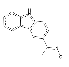 CC(=NO)c1ccc2[nH]c3ccccc3c2c1